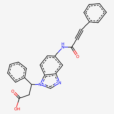 O=C(O)CC(c1ccccc1)n1cnc2cc(NC(=O)C#Cc3ccccc3)ccc21